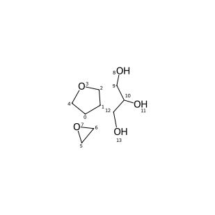 C1CCOC1.C1CO1.OCC(O)CO